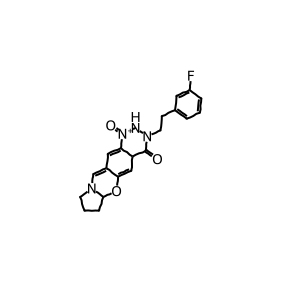 O=C1C2C=C3OC4CCCN4C=C3C=C2[N+](=O)NN1CCc1cccc(F)c1